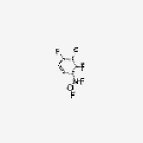 FON(F)c1ccc(F)c(F)c1F